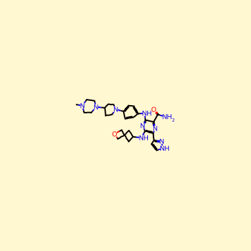 CN1CCN(C2CCN(c3ccc(Nc4nc(NC5CC6(COC6)C5)c(-c5cc[nH]n5)nc4C(N)=O)cc3)CC2)CC1